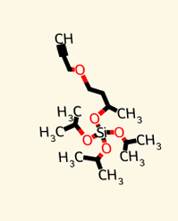 C#CCOCCC(C)O[Si](OC(C)C)(OC(C)C)OC(C)C